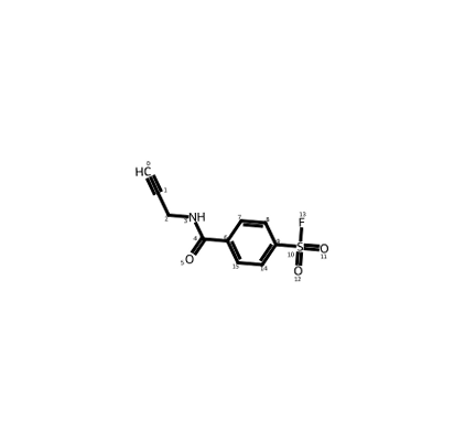 C#CCNC(=O)c1ccc(S(=O)(=O)F)cc1